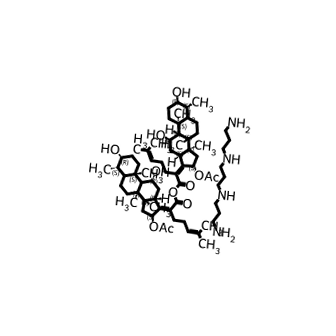 CC(=O)O[C@H]1C[C@@]2(C)[C@H](C[C@@H](O)C3[C@@]4(C)CC[C@@H](O)[C@@H](C)C4CC[C@@]32C)C1=C(CCC=C(C)C)C(=O)OC(=O)C(CCC=C(C)C)=C1[C@@H](OC(C)=O)C[C@@]2(C)[C@@H]1C[C@@H](O)[C@@H]1[C@@]3(C)CC[C@@H](O)[C@@H](C)C3CC[C@@]12C.NCCCNCCCNCCCN